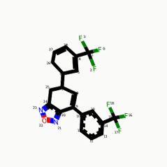 FC(F)(F)C1=CC(C2C=C(c3cccc(C(F)(F)F)c3)c3nonc3C2)CC=C1